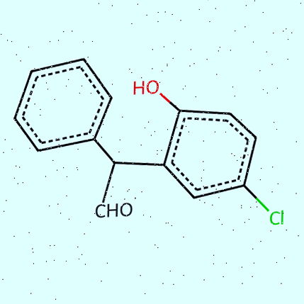 O=CC(c1ccccc1)c1cc(Cl)ccc1O